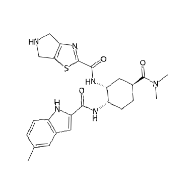 Cc1ccc2[nH]c(C(=O)N[C@H]3CC[C@H](C(=O)N(C)C)C[C@H]3NC(=O)c3nc4c(s3)CNC4)cc2c1